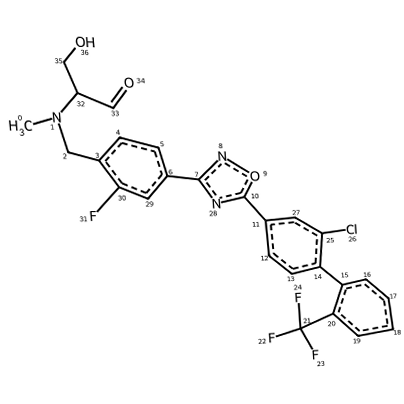 CN(Cc1ccc(-c2noc(-c3ccc(-c4ccccc4C(F)(F)F)c(Cl)c3)n2)cc1F)C(C=O)CO